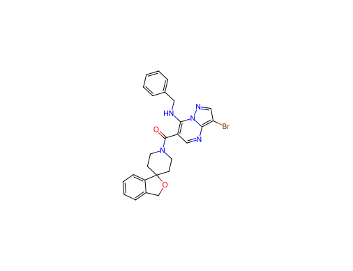 O=C(c1cnc2c(Br)cnn2c1NCc1ccccc1)N1CCC2(CC1)OCc1ccccc12